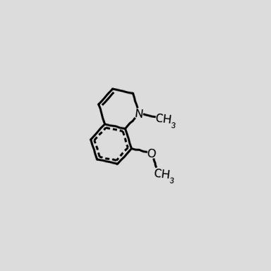 COc1cccc2c1N(C)CC=C2